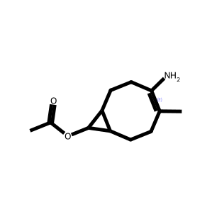 CC(=O)OC1C2CC/C(C)=C(/N)CCC21